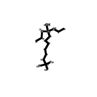 CCO[Si](O)(CCCCCCC(F)(F)F)OCC